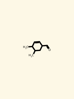 CC1C=CC(C=O)CC1C